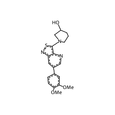 COc1ccc(-c2cnc3c(N4CCCC(O)C4)snc3c2)cc1OC